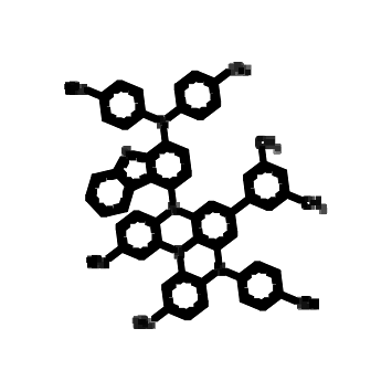 Cc1cc(C)cc(-c2cc3c4c(c2)N(c2ccc(N(c5ccc(C(C)(C)C)cc5)c5ccc(C(C)(C)C)cc5)c5sc6ccccc6c25)c2ccc(C(C)(C)C)cc2B4c2cc(C(C)(C)C)ccc2N3c2ccc(C(C)(C)C)cc2)c1